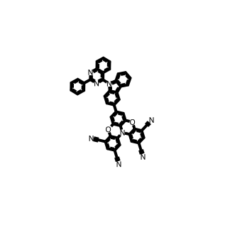 N#Cc1cc(C#N)c2c(c1)N1c3cc(C#N)cc(C#N)c3Oc3cc(-c4ccc5c(c4)c4ccccc4n5-c4nc(-c5ccccc5)nc5ccccc45)cc(c31)O2